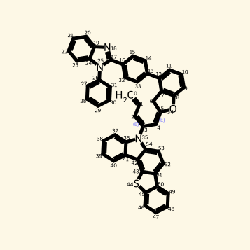 C=C/C=C(\C=C1/Cc2c(cccc2-c2ccc(-c3nc4ccccc4n3-c3ccccc3)cc2)O1)n1c2ccccc2c2c3sc4ccccc4c3ccc21